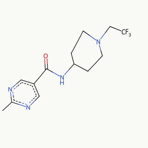 Cc1ncc(C(=O)NC2CCN(CC(F)(F)F)CC2)cn1